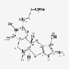 CCN(C(=O)NCCOC)C(=O)[C@@H]1C[C@@H]2Cc3c(sc(N)c3C#N)C[C@H]2N(C)C1